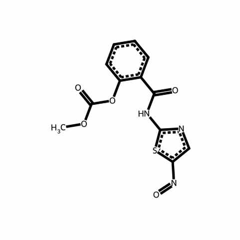 COC(=O)Oc1ccccc1C(=O)Nc1ncc(N=O)s1